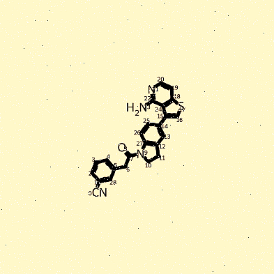 N#Cc1cccc(CC(=O)N2CCc3cc(-c4csc5ccnc(N)c45)ccc32)c1